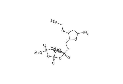 BC1CC(OCC#C)C(COP(=O)(OC)OP(=O)(OC)OP(=O)(OC)OC)O1